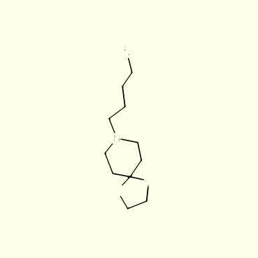 NCCCCN1CCC2(CC1)OCCO2